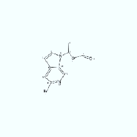 CC(OC=O)n1ccc2cc(Br)ncc21